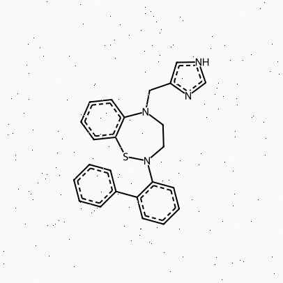 c1ccc(-c2ccccc2N2CCN(Cc3c[nH]cn3)c3ccccc3S2)cc1